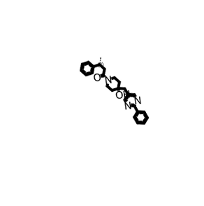 C[C@H](CC(=O)N1CCC(O)(Cc2cnc(-c3ccccc3)nc2)CC1)c1ccccc1